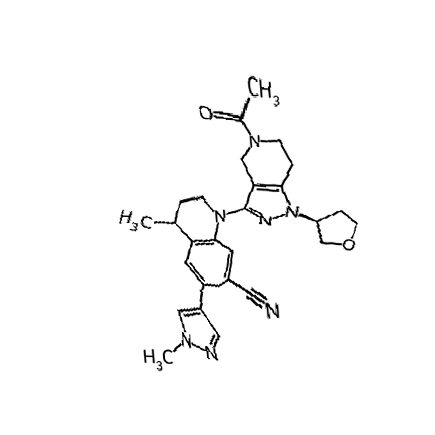 CC(=O)N1CCc2c(c(N3CCC(C)c4cc(-c5cnn(C)c5)c(C#N)cc43)nn2[C@H]2CCOC2)C1